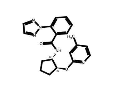 Cc1ccnc(O[C@H]2CCC[C@@H]2NC(=O)c2ccccc2-n2nccn2)c1